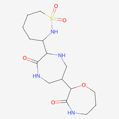 O=C1NCC(C2OCCCNC2=O)CNC1C1CCCCS(=O)(=O)N1